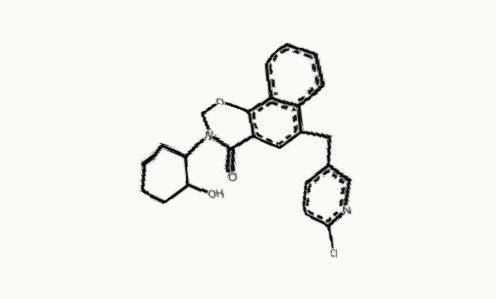 O=C1c2cc(Cc3ccc(Cl)nc3)c3ccccc3c2OCN1C1CCCCC1O